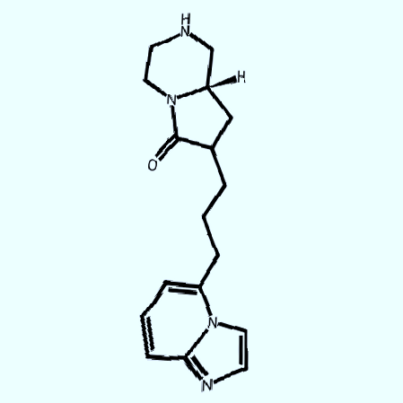 O=C1C(CCCc2cccc3nccn23)C[C@H]2CNCCN12